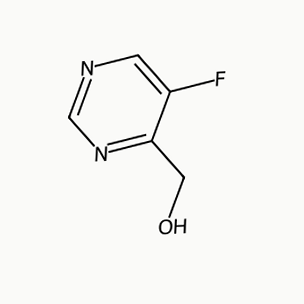 OCc1ncncc1F